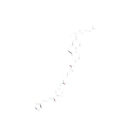 CC(C)CCC[C@@H](C)[C@H]1CCC2C3CC=C4CC(OC(=O)NCCCC(=O)N[C@@H]5CN[C@H](C(=O)NCCc6cnc[nH]6)C5)CC[C@]4(C)C3CC[C@@]21C